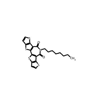 CCCCCCCCn1c(=O)c2c3sccc3sc2c2sc3ccsc3c2c1=O